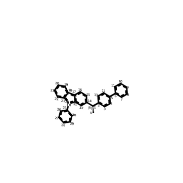 C[C@H](c1ccc(-c2ccccc2)cc1)c1ccc2c3ccccc3n(-c3ccccc3)c2c1